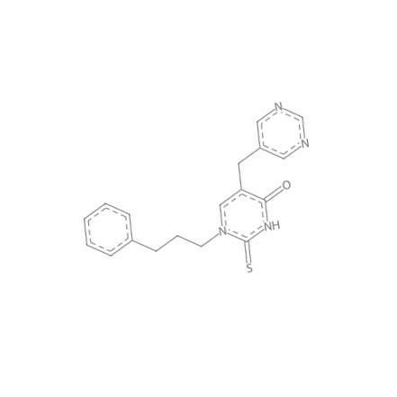 O=c1[nH]c(=S)n(CCCc2ccccc2)cc1Cc1cncnc1